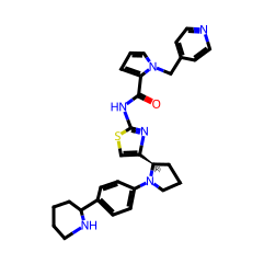 O=C(Nc1nc([C@H]2CCCN2c2ccc(C3CCCCN3)cc2)cs1)c1cccn1Cc1ccncc1